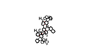 CC(C)(c1ccccc1)c1ccc(N(c2ccc3c(c2)-c2ccccc2C3(C)C)c2ccc3ccccc3c2-c2ccc(-c3ccc4c(c3)C(C)(C)c3ccccc3-4)cc2)c(-c2ccccc2)c1